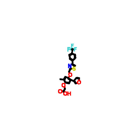 Cc1cc(OCc2nc(-c3ccc(C(F)(F)F)cc3)cs2)c(-c2ccoc2)cc1OCC(=O)O